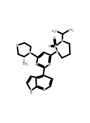 CC(C)N1CCCN(c2cc(N3CCOC[C@H]3C)nc(-c3ccnc4[nH]ccc34)n2)S1(=O)=O